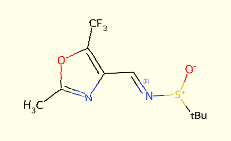 Cc1nc(/C=N/[S+]([O-])C(C)(C)C)c(C(F)(F)F)o1